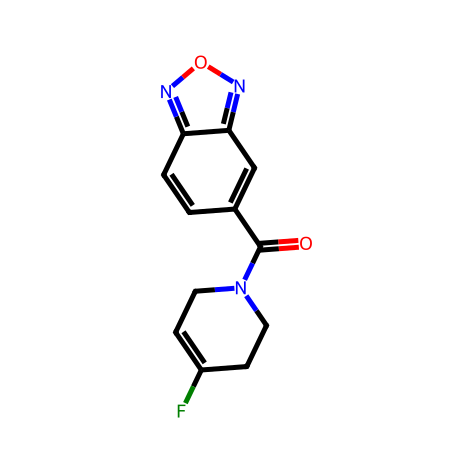 O=C(c1ccc2nonc2c1)N1CC=C(F)CC1